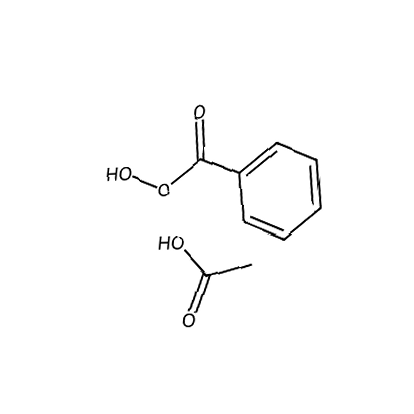 CC(=O)O.O=C(OO)c1ccccc1